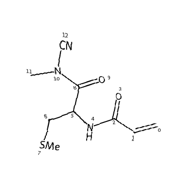 C=CC(=O)NC(CSC)C(=O)N(C)C#N